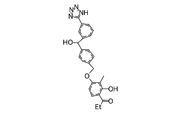 CCC(=O)c1ccc(OCc2ccc(C(O)c3cccc(-c4nnn[nH]4)c3)cc2)c(C)c1O